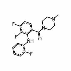 CN1CCN(C(=O)c2ccc(F)c(F)c2Nc2ccccc2F)CC1